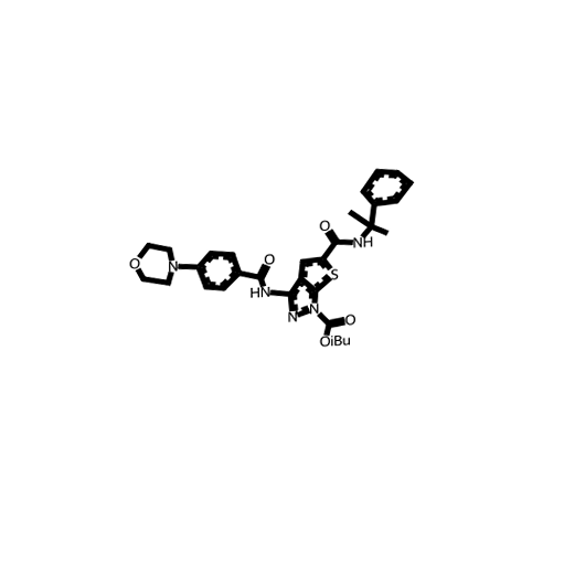 CC(C)COC(=O)n1nc(NC(=O)c2ccc(N3CCOCC3)cc2)c2cc(C(=O)NC(C)(C)c3ccccc3)sc21